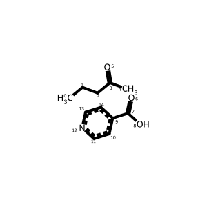 CCCC(C)=O.O=C(O)c1ccncc1